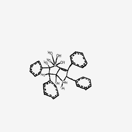 O[SeH]1C(c2ccccc2)C(c2ccccc2)=C2C1(O)C(O)(c1ccccc1)C(O)(c1ccccc1)S2(O)(O)(O)O